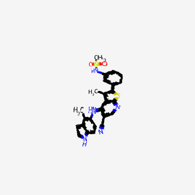 Cc1c(Nc2c(C#N)cnc3sc(-c4cccc(NS(C)(=O)=O)c4)c(C)c23)ccc2[nH]ccc12